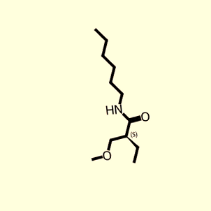 CCCCCCNC(=O)[C@@H](CC)COC